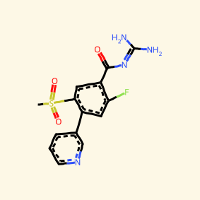 CS(=O)(=O)c1cc(C(=O)N=C(N)N)c(F)cc1-c1cccnc1